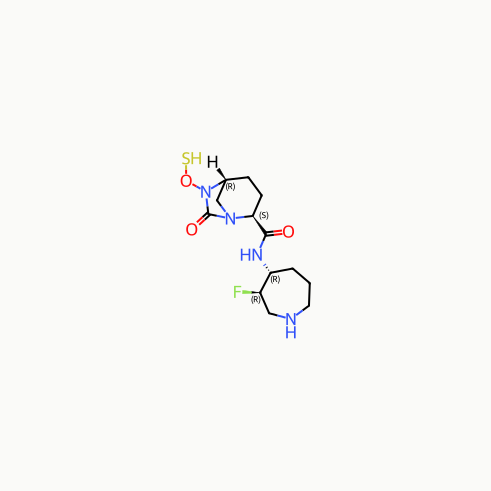 O=C(N[C@@H]1CCCNC[C@H]1F)[C@@H]1CC[C@@H]2CN1C(=O)N2OS